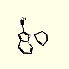 C#Cc1cc2ccccn2n1.C1=CCCCC1